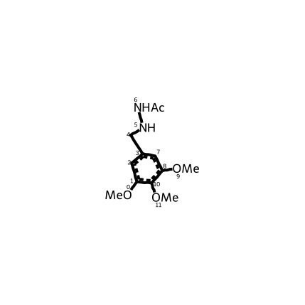 COc1cc(CNNC(C)=O)cc(OC)c1OC